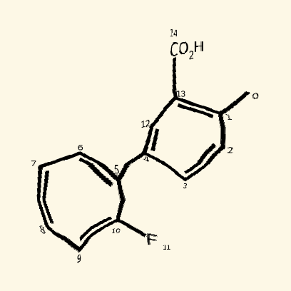 Cc1ccc(-c2ccccc2F)cc1C(=O)O